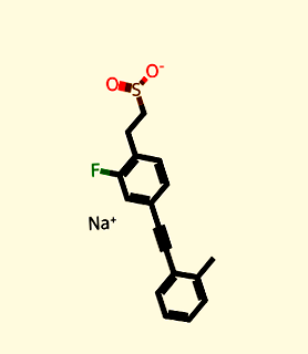 Cc1ccccc1C#Cc1ccc(CCS(=O)[O-])c(F)c1.[Na+]